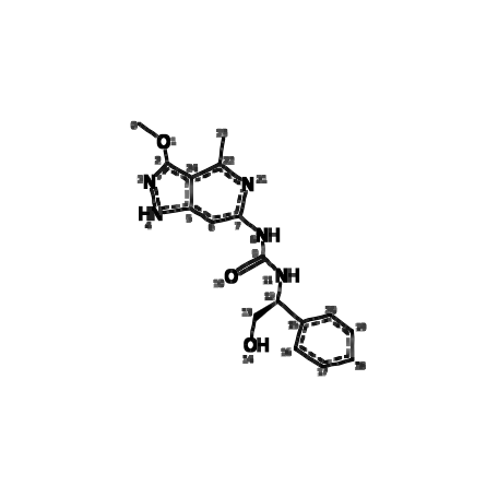 COc1n[nH]c2cc(NC(=O)N[C@H](CO)c3ccccc3)nc(C)c12